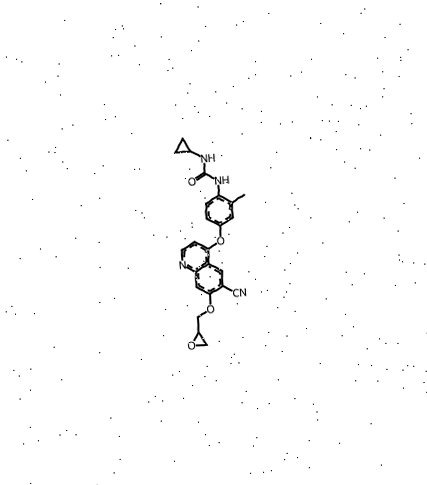 Cc1cc(Oc2ccnc3cc(OCC4CO4)c(C#N)cc23)ccc1NC(=O)NC1CC1